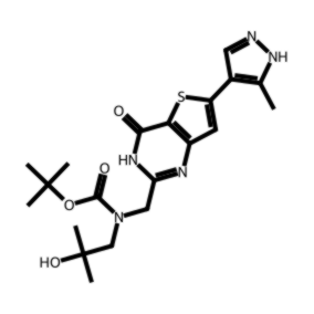 Cc1[nH]ncc1-c1cc2nc(CN(CC(C)(C)O)C(=O)OC(C)(C)C)[nH]c(=O)c2s1